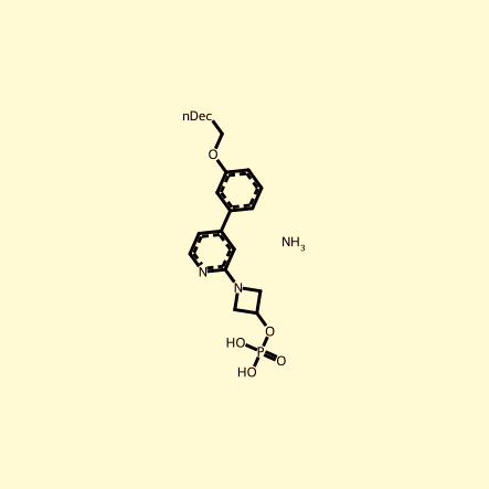 CCCCCCCCCCCOc1cccc(-c2ccnc(N3CC(OP(=O)(O)O)C3)c2)c1.N